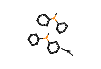 CP(c1ccccc1)c1ccccc1.CP(c1ccccc1)c1ccccc1.[CH3][Pd][CH3]